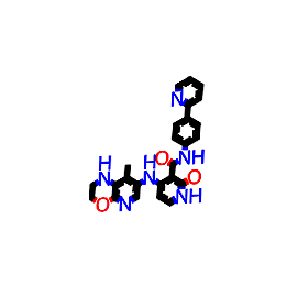 Cc1c(Nc2cc[nH]c(=O)c2C(=O)Nc2ccc(-c3ccccn3)cc2)cnc2c1NCCO2